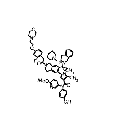 COc1ccc(N(C(=O)c2cc(-c3cc4c(cc3C(=O)N3Cc5ccccc5C[C@H]3CN3CCCCC3)CN(C(=O)Cc3ccc(OCCN5CCOCC5)cc3F)CC4)n(C)c2C)c2ccc(O)cc2)cn1